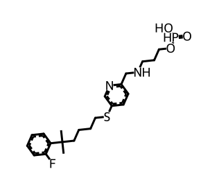 CC(C)(CCCCSc1ccc(CNCCCO[PH](=O)O)nc1)c1ccccc1F